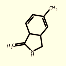 C=C1NCC2C=C(C)C=CC12